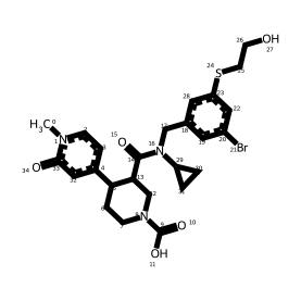 Cn1ccc(C2CCN(C(=O)O)CC2C(=O)N(Cc2cc(Br)cc(SCCO)c2)C2CC2)cc1=O